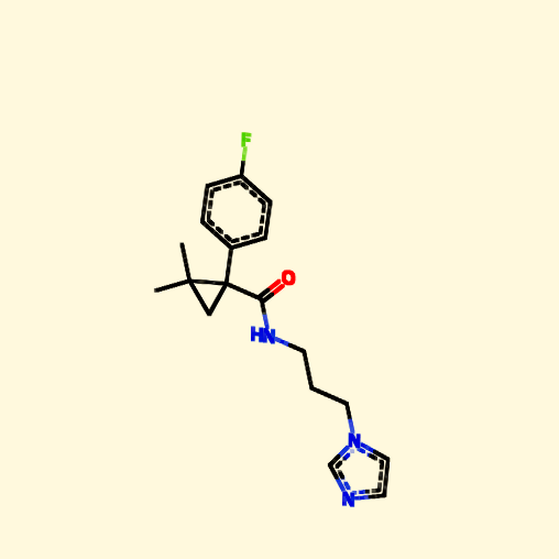 CC1(C)CC1(C(=O)NCCCn1ccnc1)c1ccc(F)cc1